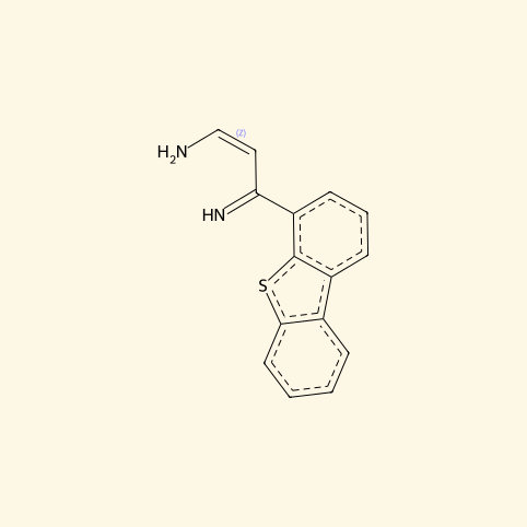 N=C(/C=C\N)c1cccc2c1sc1ccccc12